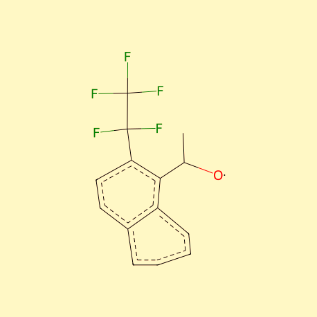 CC([O])c1c(C(F)(F)C(F)(F)F)ccc2ccccc12